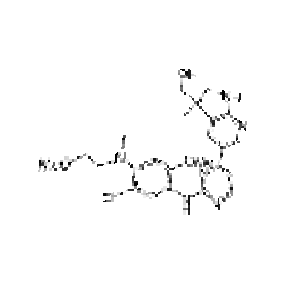 COCCN(C)c1cc(OC)c(Nc2nccc(-c3cnc4c(c3)C(C)(CO)CN4)n2)cc1Cl